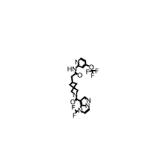 O=C(CC1CC2(C1)CN(C(=O)c1cnn3ccn(C(F)F)c13)C2)Nc1cc(OC(F)(F)F)ccn1